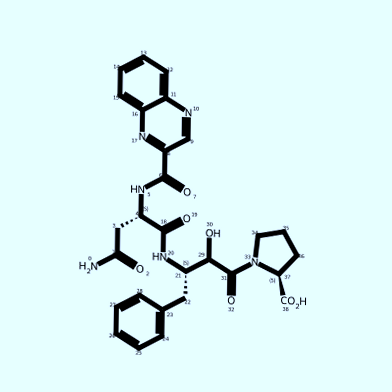 NC(=O)C[C@H](NC(=O)c1cnc2ccccc2n1)C(=O)N[C@@H](Cc1ccccc1)C(O)C(=O)N1CCC[C@H]1C(=O)O